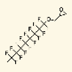 CC(F)(F)C(F)(F)C(F)(F)C(F)(F)C(F)(F)C(F)(F)C(F)(F)C(F)(F)OCC1CO1